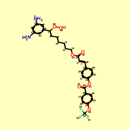 Nc1cc(N)cc(C(CCCCCCOC(=O)/C=C/c2ccc(OC(=O)c3ccc(OC(F)(F)F)cc3)cc2)OO)c1